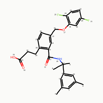 Cc1cc(C)cc(C(C)(C)NC(=O)c2cc(COc3cc(F)ccc3F)ccc2CCC(=O)O)c1